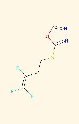 FC(F)=C(F)CCSc1nnco1